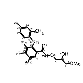 COCC(O)CONC(=O)c1cc(Br)c(F)c(F)c1Nc1ccc(I)cc1C